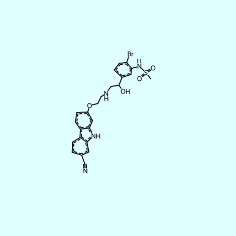 CS(=O)(=O)Nc1cc(C(O)CNCCOc2ccc3c(c2)[nH]c2cc(C#N)ccc23)ccc1Br